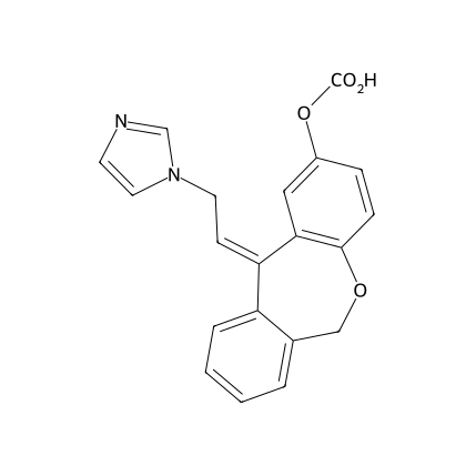 O=C(O)Oc1ccc2c(c1)C(=CCn1ccnc1)c1ccccc1CO2